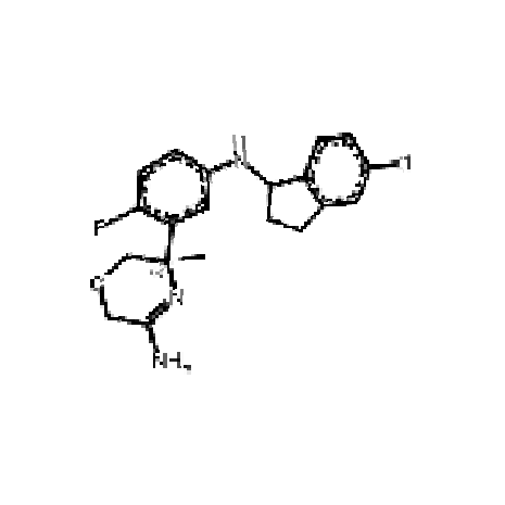 C[C@]1(c2cc(NC3CCc4cc(Cl)ccc43)ccc2F)COCC(N)=N1